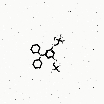 FC(F)(F)COc1cc(OCC(F)(F)F)cc(P(C2CCCCC2)C2CCCCC2)c1